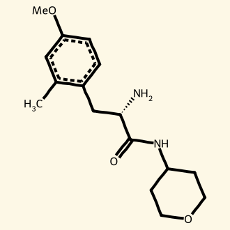 COc1ccc(C[C@H](N)C(=O)NC2CCOCC2)c(C)c1